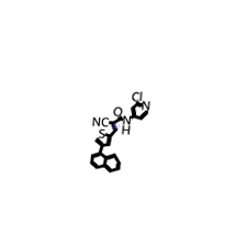 N#C/C(=C\c1cc(-c2cccc3ccccc23)cs1)C(=O)Nc1ccnc(Cl)c1